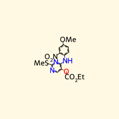 CCOC(=O)Oc1cnc(SC)nc1Nc1ccc(OC)cc1[N+](=O)[O-]